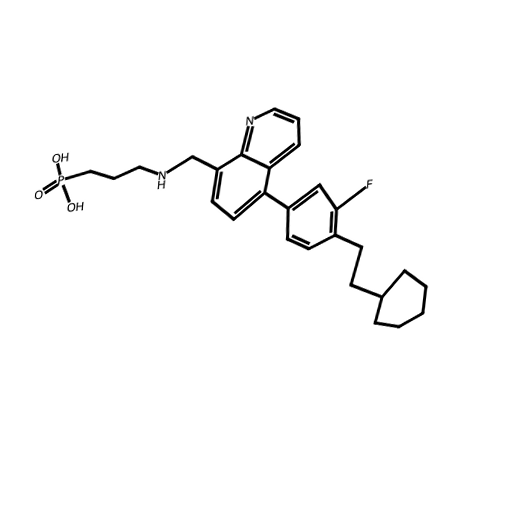 O=P(O)(O)CCCNCc1ccc(-c2ccc(CCC3CCCCC3)c(F)c2)c2cccnc12